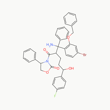 NC(c1ccccc1)(c1ccc(Br)cc1OCc1ccccc1)C(CCC(O)c1ccc(F)cc1)C(=O)N1C(=O)OCC1c1ccccc1